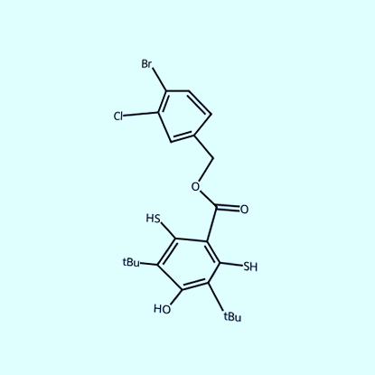 CC(C)(C)c1c(O)c(C(C)(C)C)c(S)c(C(=O)OCc2ccc(Br)c(Cl)c2)c1S